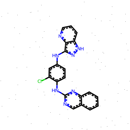 Clc1cc(Nc2n[nH]c3cccnc23)ccc1Nc1ncc2ccccc2n1